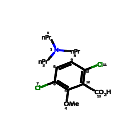 CCCN(CCC)CCC.COc1c(Cl)ccc(Cl)c1C(=O)O